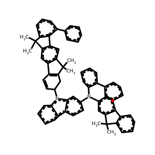 CC1(C)C2=C(C=CC(n3c4ccccc4c4ccc(N(c5ccc6c(c5)C(C)(C)c5ccccc5-6)c5ccccc5-c5ccccc5)cc43)C2)c2cc3c(cc21)-c1c(-c2ccccc2)cccc1C3(C)C